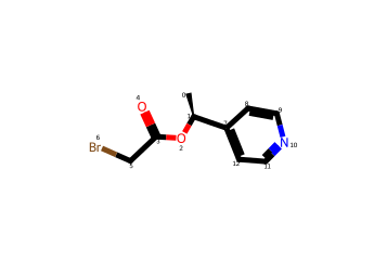 C[C@H](OC(=O)CBr)c1ccncc1